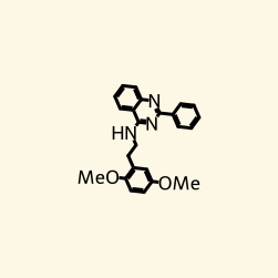 COc1ccc(OC)c(CCNc2nc(-c3ccccc3)nc3ccccc23)c1